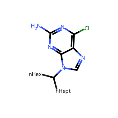 CCCCCCCC(CCCCCC)n1cnc2c(Cl)nc(N)nc21